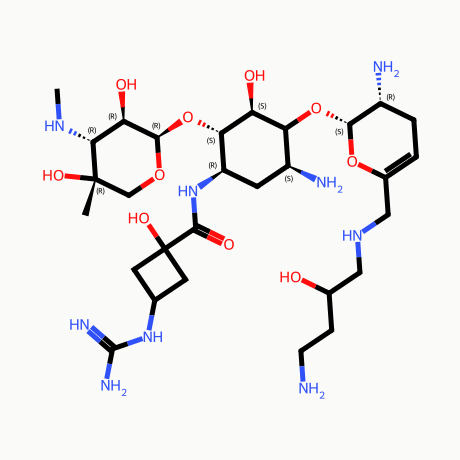 CN[C@@H]1[C@@H](O)[C@@H](O[C@H]2[C@H](NC(=O)C3(O)CC(NC(=N)N)C3)C[C@H](N)C(O[C@H]3OC(CNCC(O)CCN)=CC[C@H]3N)[C@@H]2O)OC[C@]1(C)O